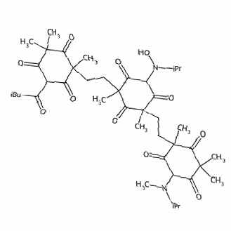 CCC(C)C(=O)C1C(=O)C(C)(C)C(=O)C(C)(CCC2(C)C(=O)C(N(O)C(C)C)C(=O)C(C)(CCC3(C)C(=O)C(N(C)C(C)C)C(=O)C(C)(C)C3=O)C2=O)C1=O